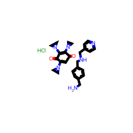 Cl.NCc1ccc(CNCc2ccncc2)cc1.O=C1C=C(N2CC2)C(=O)C(N2CC2)=C1N1CC1